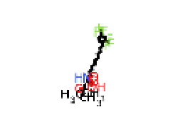 CC(C)(C)C(=O)CC[C@H](NC(=O)CCCCCCCCCCc1ccc(C(F)(F)F)cc1C(F)(F)F)C(=O)O